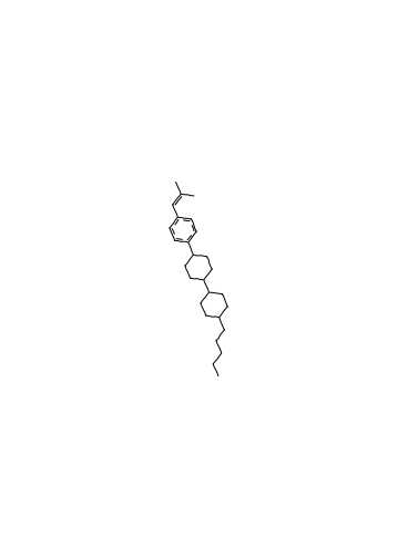 CCCCCC1CCC(C2CCC(c3ccc(C=C(C)C)cc3)CC2)CC1